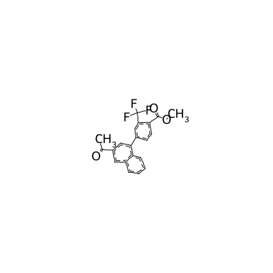 COC(=O)c1ccc(-c2cc(C(C)=O)cc3ccccc23)cc1C(F)(F)F